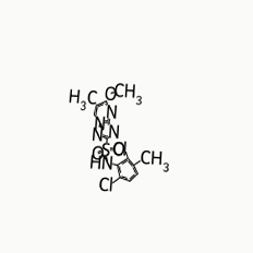 COc1nc2nc(S(=O)(=O)Nc3c(Cl)ccc(C)c3Cl)nn2cc1C